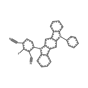 N#Cc1ccc(-n2c3ccccc3c3cc4c(cc32)c2ccccc2n4-c2ccccc2)c(C#N)c1F